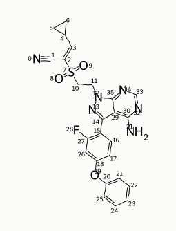 N#CC(=CC1CC1)S(=O)(=O)CCn1nc(-c2ccc(Oc3ccccc3)cc2F)c2c(N)ncnc21